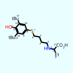 CCC(NCCCCSc1cc(C(C)(C)C)c(O)c(C(C)(C)C)c1)C(=O)O